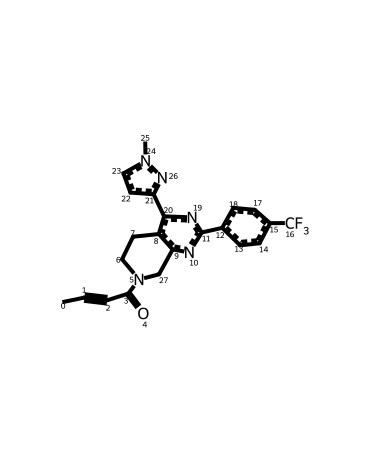 CC#CC(=O)N1CCc2c(nc(-c3ccc(C(F)(F)F)cc3)nc2-c2ccn(C)n2)C1